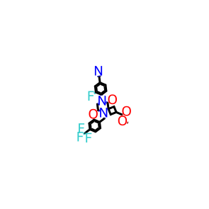 COC(=O)C1CC2(C1)C(=O)N(c1ccc(C#N)cc1F)CC(=O)N2Cc1ccc(C(F)(F)F)cc1